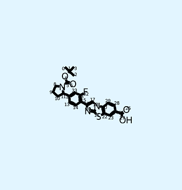 CC(C)(C)OC(=O)N1CCCC1c1ccc(-c2cn3c(n2)sc2cc(C(=O)O)ccc23)c(F)c1